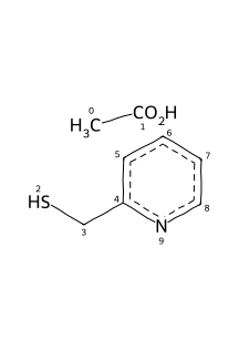 CC(=O)O.SCc1ccccn1